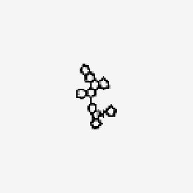 c1ccc(-n2c3ccccc3c3ccc(-c4cc5c6ccccc6c6cc7ccccc7cc6c5c5ccccc45)cc32)cc1